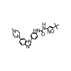 CN1CCN(c2ccc3ncn(-c4ccc(NC(=O)Nc5cc(C(C)(C)C)on5)cc4)c3c2)CC1